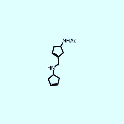 CC(=O)NC1CC=C(CNC2CC=CC2)C1